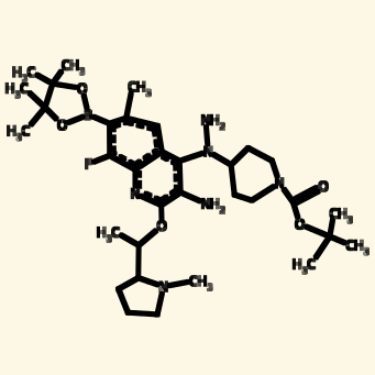 Cc1cc2c(N(N)C3CCN(C(=O)OC(C)(C)C)CC3)c(N)c(OC(C)C3CCCN3C)nc2c(F)c1B1OC(C)(C)C(C)(C)O1